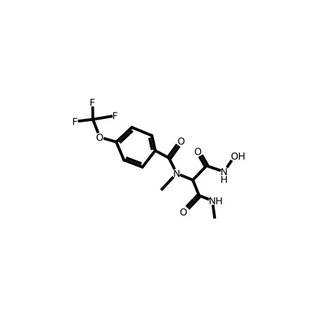 CNC(=O)C(C(=O)NO)N(C)C(=O)c1ccc(OC(F)(F)F)cc1